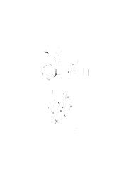 CC(OC(=O)N(N(CCCl)S(C)(=O)=O)S(C)(=O)=O)c1ccc([N+](=O)[O-])c(OP(=O)(O)O)c1